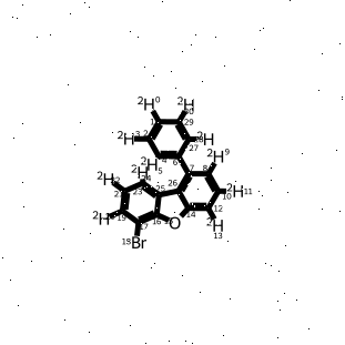 [2H]c1c([2H])c([2H])c(-c2c([2H])c([2H])c([2H])c3oc4c(Br)c([2H])c([2H])c([2H])c4c23)c([2H])c1[2H]